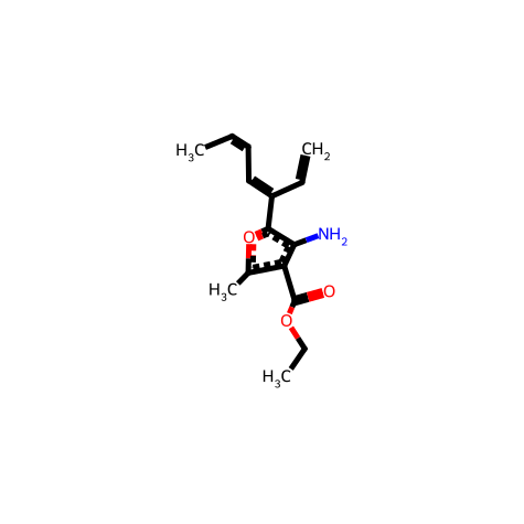 C=C/C(=C\C=C/C)c1oc(C)c(C(=O)OCC)c1N